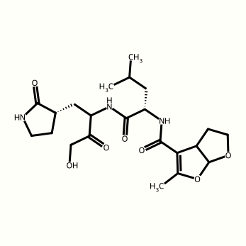 CC1=C(C(=O)N[C@@H](CC(C)C)C(=O)NC(C[C@@H]2CCNC2=O)C(=O)CO)C2CCOC2O1